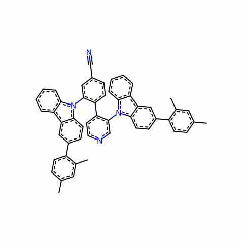 Cc1ccc(-c2ccc3c(c2)c2ccccc2n3-c2cnccc2-c2ccc(C#N)cc2-n2c3ccccc3c3cc(-c4ccc(C)cc4C)ccc32)c(C)c1